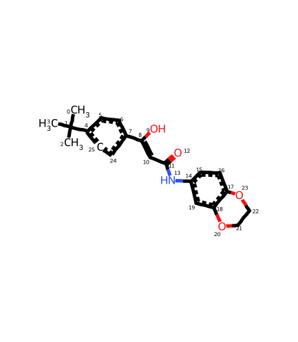 CC(C)(C)c1ccc(/C(O)=C/C(=O)Nc2ccc3c(c2)OCCO3)cc1